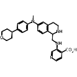 CN(c1ccc(C2CCOCC2)cc1)c1ccc2c(c1)CCNC2CNc1cnccc1C(=O)O